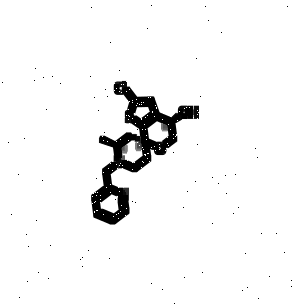 C[C@H]1C[C@@]2(CCN1Cc1ccccn1)OC[C@H](O)c1cc(Cl)sc12